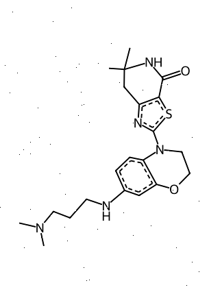 CN(C)CCCNc1ccc2c(c1)OCCN2c1nc2c(s1)C(=O)NC(C)(C)C2